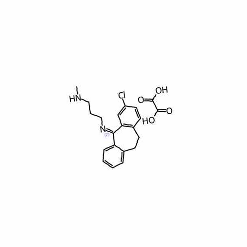 CNCCC/N=C1/c2ccccc2CCc2ccc(Cl)cc21.O=C(O)C(=O)O